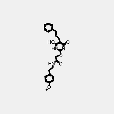 COc1ccc(CCNC(=O)CSc2nc(=O)c(C/C=C/c3ccccc3)c(O)[nH]2)cc1